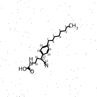 CCCCCCCCc1ccc(C(C#N)CCNC(=O)O)cc1